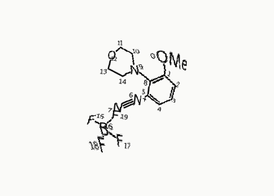 COc1cccc([N+]#N)c1N1CCOCC1.F[B-](F)(F)F